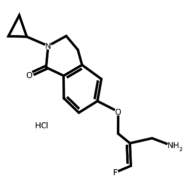 Cl.NC/C(=C/F)COc1ccc2c(c1)CCN(C1CC1)C2=O